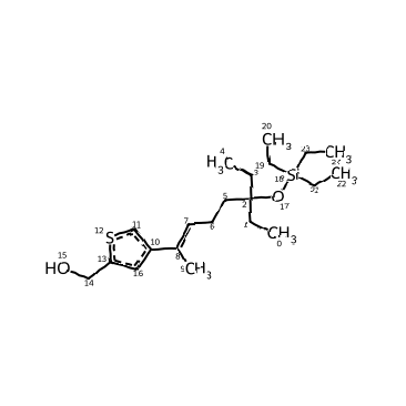 CCC(CC)(CCC=C(C)c1csc(CO)c1)O[Si](CC)(CC)CC